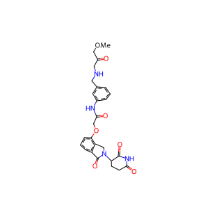 COCC(=O)CNCc1cccc(NC(=O)COc2cccc3c2CN(C2CCC(=O)NC2=O)C3=O)c1